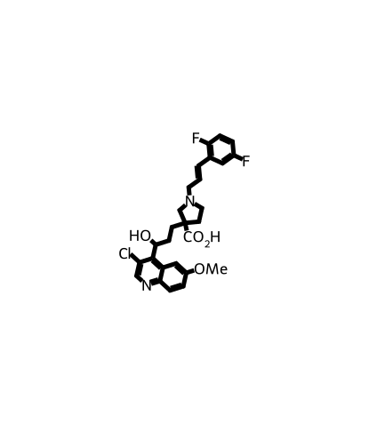 COc1ccc2ncc(Cl)c(C(O)CCC3(C(=O)O)CCN(CC=Cc4cc(F)ccc4F)C3)c2c1